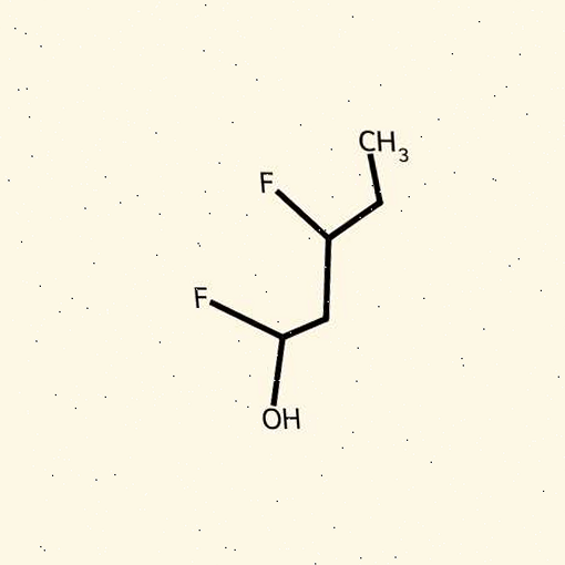 CCC(F)CC(O)F